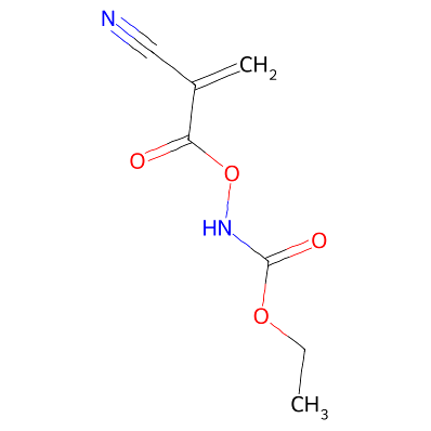 C=C(C#N)C(=O)ONC(=O)OCC